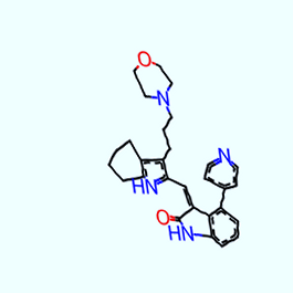 O=C1Nc2cccc(-c3ccncc3)c2C1=Cc1[nH]c2c(c1CCCN1CCOCC1)CCCC2